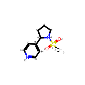 CS(=O)(=O)N1CCCC1c1ccncc1